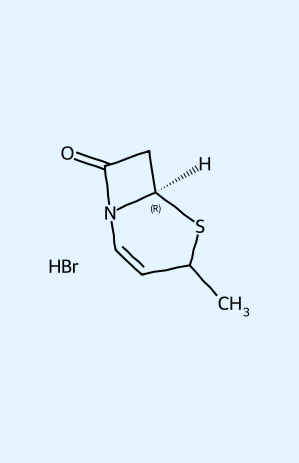 Br.CC1C=CN2C(=O)C[C@H]2S1